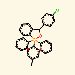 Cc1ccc(P2(c3ccccc3)(c3ccccc3)OC(c3ccc(Cl)cc3)c3ccccc32)cc1